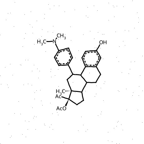 CC(=O)O[C@]1(C(C)=O)CCC2C3CCc4cc(O)ccc4C3C(c3ccc(N(C)C)cc3)C[C@@]21C